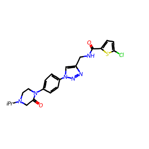 CC(C)N1CCN(c2ccc(-n3cc(CNC(=O)c4ccc(Cl)s4)nn3)cc2)C(=O)C1